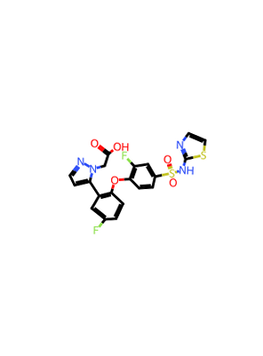 O=C(O)Cn1nccc1-c1cc(F)ccc1Oc1ccc(S(=O)(=O)Nc2nccs2)cc1F